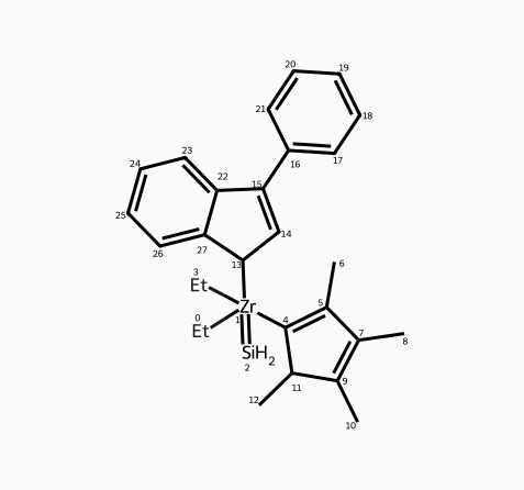 C[CH2][Zr](=[SiH2])([CH2]C)([C]1=C(C)C(C)=C(C)C1C)[CH]1C=C(c2ccccc2)c2ccccc21